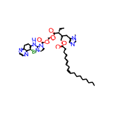 CCCCCCCC/C=C\CCCCCCCC(=O)OCC(Cc1cncn1C)[C@H](CC)C(=O)OCOC(=O)N1CCN=C1Nc1ccc2nccnc2c1Br